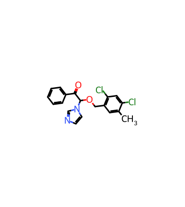 Cc1cc(COC(C(=O)c2ccccc2)n2ccnc2)c(Cl)cc1Cl